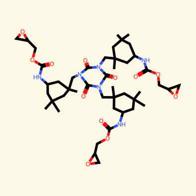 CC1(C)CC(NC(=O)OCC2CO2)CC(C)(Cn2c(=O)n(CC3(C)CC(NC(=O)OCC4CO4)CC(C)(C)C3)c(=O)n(CC3(C)CC(NC(=O)OCC4CO4)CC(C)(C)C3)c2=O)C1